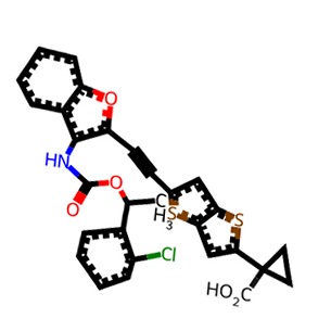 CC(OC(=O)Nc1c(C#Cc2cc3sc(C4(C(=O)O)CC4)cc3s2)oc2ccccc12)c1ccccc1Cl